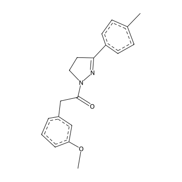 COc1cccc(CC(=O)N2CCC(c3ccc(C)cc3)=N2)c1